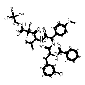 COc1ccc(C(NC(=O)C(Cc2cccc(Cl)c2)NC(=O)c2ccccc2)C(=O)NC(C(=O)C(F)(F)C(=O)NCC(F)(F)F)C(C)C)cc1